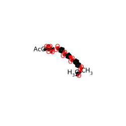 CC(=O)OCC1OCOC2C(COC(=O)c3ccc(OC(=O)c4ccc(OC(=O)c5ccc6cc(OC(C)OCC7(C)CO7)ccc6c5)cc4)cc3)OCOC12